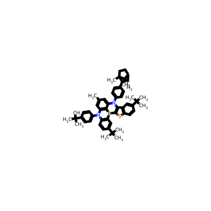 Cc1cc2c3c(c1)N(c1ccc(C4CC5CCC4(C)C5(C)C)cc1)c1c(sc4ccc(C(C)(C)C)cc14)B3c1cc(C(C)(C)C)ccc1N2c1ccc(C(C)(C)C)cc1